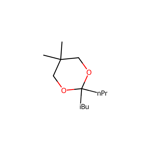 CCCC1(C(C)CC)OCC(C)(C)CO1